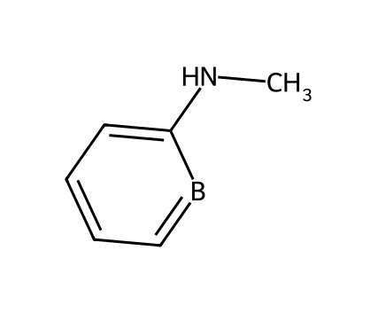 CNc1bcccc1